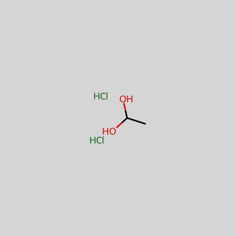 CC(O)O.Cl.Cl